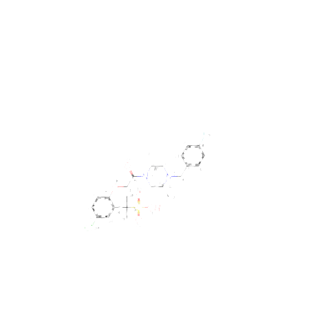 C[C@@H]1CN(Cc2ccc(F)cc2)[C@@H](C)CN1C(=O)COc1ccc(Cl)cc1C(C)(C)S(=O)(=O)O